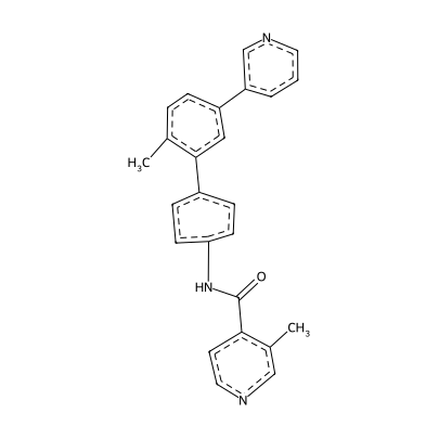 Cc1cnccc1C(=O)Nc1ccc(-c2cc(-c3cccnc3)ccc2C)cc1